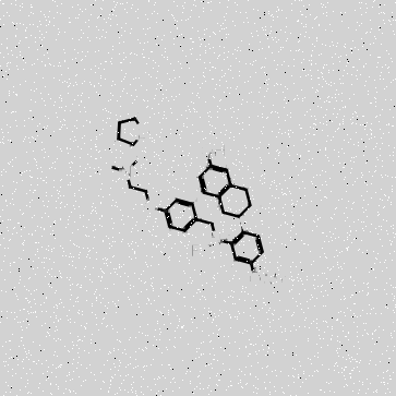 CCN(Cc1ccc(OCCN(C)C[C@@H]2CCCO2)cc1)c1cc(OC)ccc1[C@@H]1CCc2cc(O)ccc2C1